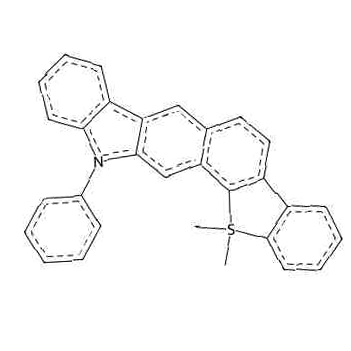 CS1(C)c2ccccc2-c2ccc3cc4c5ccccc5n(-c5ccccc5)c4cc3c21